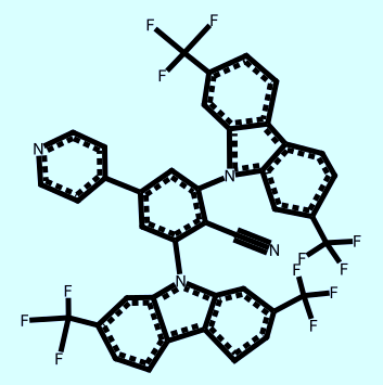 N#Cc1c(-n2c3cc(C(F)(F)F)ccc3c3ccc(C(F)(F)F)cc32)cc(-c2ccncc2)cc1-n1c2cc(C(F)(F)F)ccc2c2ccc(C(F)(F)F)cc21